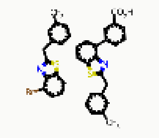 FC(F)(F)c1cccc(Cc2nc3c(Br)cccc3s2)c1.O=C(O)c1cccc(-c2cccc3sc(Cc4cccc(C(F)(F)F)c4)nc23)c1